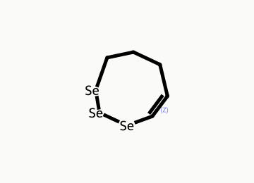 C1=C\[Se][Se][Se]CCC/1